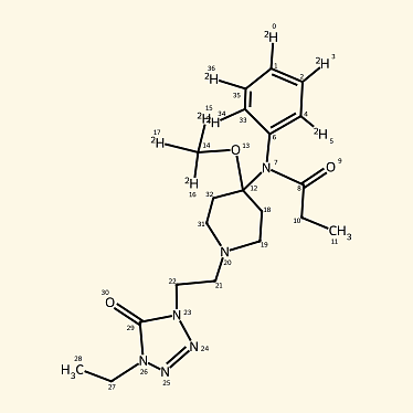 [2H]c1c([2H])c([2H])c(N(C(=O)CC)C2(OC([2H])([2H])[2H])CCN(CCn3nnn(CC)c3=O)CC2)c([2H])c1[2H]